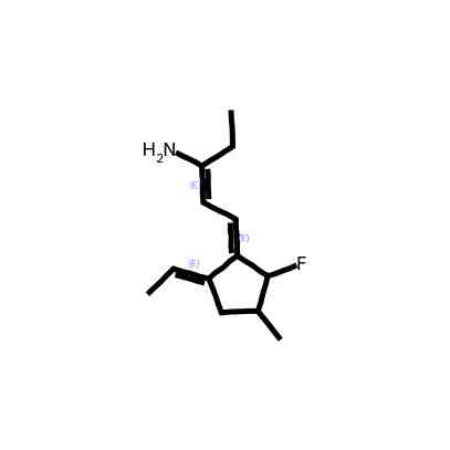 C\C=C1/CC(C)C(F)/C1=C/C=C(/N)CC